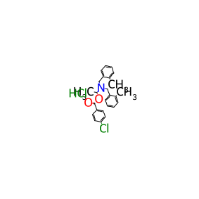 Cc1ccccc1CN(Cc1ccccc1C)C(C)OC(=O)c1ccc(Cl)cc1.Cl